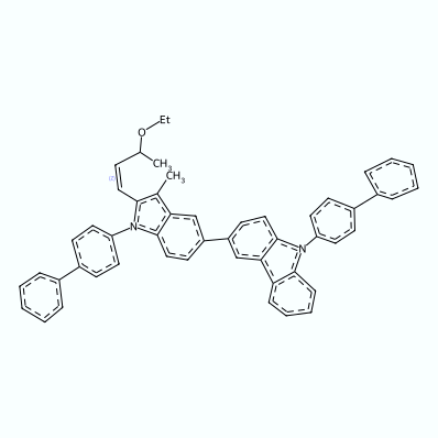 CCOC(C)/C=C\c1c(C)c2cc(-c3ccc4c(c3)c3ccccc3n4-c3ccc(-c4ccccc4)cc3)ccc2n1-c1ccc(-c2ccccc2)cc1